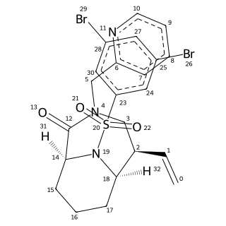 C=C[C@@H]1CN(Cc2ccccn2)C(=O)[C@@H]2CCC[C@H]1N2S(=O)(=O)c1cc(Br)cc(Br)c1